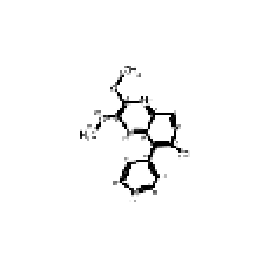 COc1nc2ccc(Cl)c(-c3ccncc3)c2nc1OC